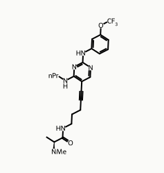 CCCNc1nc(Nc2cccc(OC(F)(F)F)c2)ncc1C#CCCCNC(=O)[C@H](C)NC